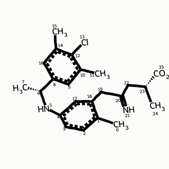 Cc1ccc(N[C@H](C)c2cc(C)c(Cl)c(C)c2)cc1CC(=N)C[C@@H](C)C(=O)O